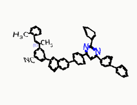 C/C(=C\c1ccccc1C)c1cc(C#N)cc(-c2ccc3ccc(-c4ccc(-c5cc(-c6ccc(-c7ccccc7)cc6)nc(C6=CCCC=C6)n5)cc4)cc3c2)c1